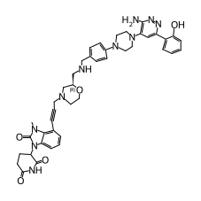 Cn1c(=O)n(C2CCC(=O)NC2=O)c2cccc(C#CCN3CCO[C@H](CNCc4ccc(N5CCN(c6cc(-c7ccccc7O)nnc6N)CC5)cc4)C3)c21